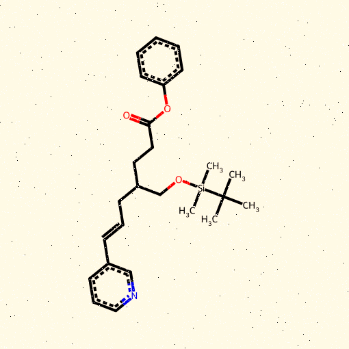 CC(C)(C)[Si](C)(C)OCC(CC=Cc1cccnc1)CCC(=O)Oc1ccccc1